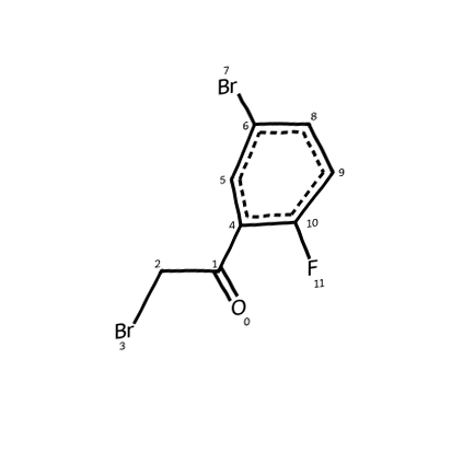 O=C(CBr)c1cc(Br)ccc1F